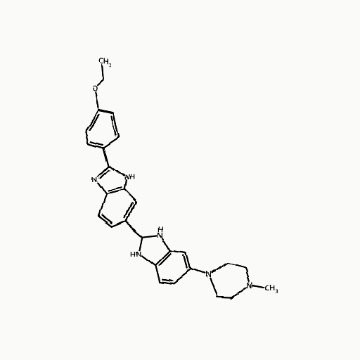 CCOc1ccc(-c2nc3ccc(C4Nc5ccc(N6CCN(C)CC6)cc5N4)cc3[nH]2)cc1